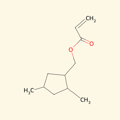 C=CC(=O)OCC1CC(C)CC1C